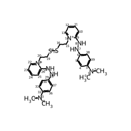 CN(C)c1ccc(NNc2cccc[n+]2CCSSCC[n+]2ccccc2NNc2ccc(N(C)C)cc2)cc1